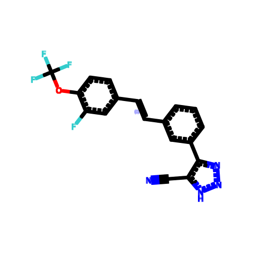 N#Cc1[nH]nnc1-c1cccc(/C=C/c2ccc(OC(F)(F)F)c(F)c2)c1